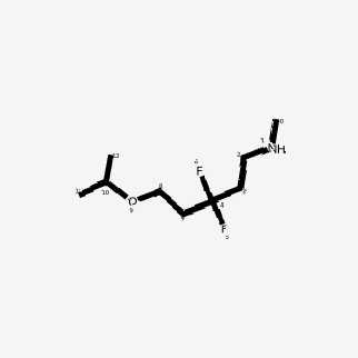 CNCCC(F)(F)CCOC(C)C